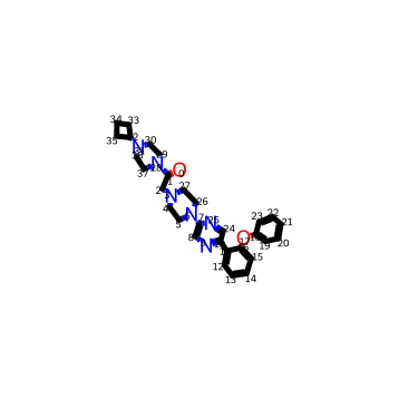 O=C(CN1CCN(c2cnc(-c3ccccc3Oc3ccccc3)cn2)CC1)N1CCN(C2CCC2)CC1